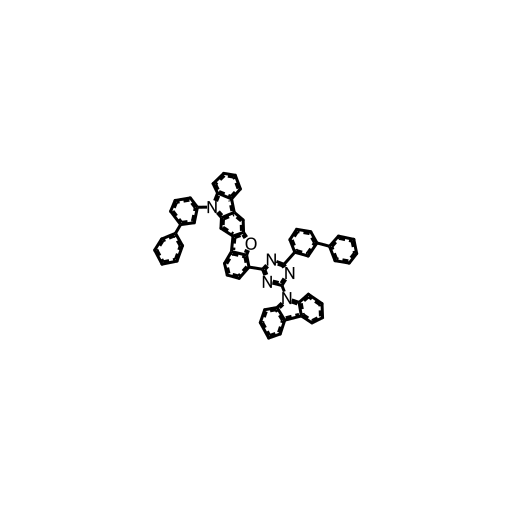 c1ccc(-c2cccc(-c3nc(-c4cccc5c4oc4cc6c7ccccc7n(-c7cccc(-c8ccccc8)c7)c6cc45)nc(-n4c5ccccc5c5ccccc54)n3)c2)cc1